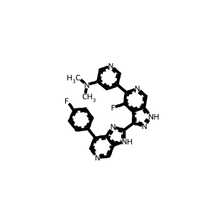 CN(C)c1cncc(-c2ncc3[nH]nc(-c4nc5c(-c6ccc(F)cc6)cncc5[nH]4)c3c2F)c1